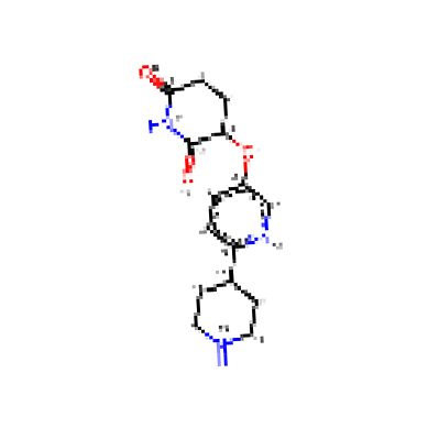 O=C1CCC(Oc2ccc(C3CCNCC3)nc2)C(=O)N1